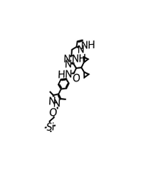 Cc1nn(COCC[Si](C)(C)C)c(C)c1-c1ccc(NC(=O)C(c2nnc(Cc3cc[nH]n3)[nH]2)C(C2CC2)C2CC2)cc1